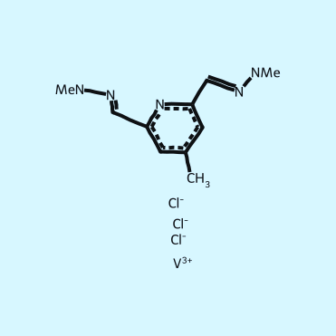 CNN=Cc1cc(C)cc(C=NNC)n1.[Cl-].[Cl-].[Cl-].[V+3]